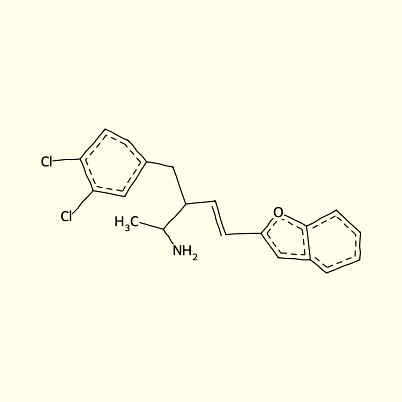 CC(N)C(/C=C/c1cc2ccccc2o1)Cc1ccc(Cl)c(Cl)c1